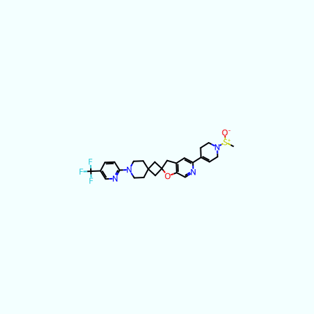 C[S+]([O-])N1CC=C(c2cc3c(cn2)OC2(C3)CC3(CCN(c4ccc(C(F)(F)F)cn4)CC3)C2)CC1